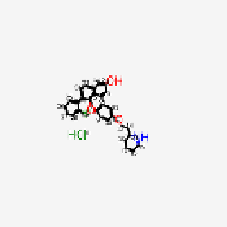 Cl.Oc1ccc2c(Oc3ccc(OCCC4CCCCN4)cc3)c(-c3ccccc3F)ccc2c1